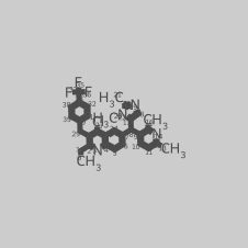 CCc1nc2ccc(C(c3ccc(C)nc3C)c3cnc(C)n3C)cc2c(Cl)c1Cc1ccc(C(F)(F)F)cc1